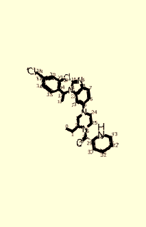 CCC1CN(c2ccc3ncn(C(C)c4ccc(Cl)cc4Cl)c3c2)CCN1C(=O)[C@H]1CCCCN1